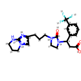 O=C(O)CC(c1cccc(C(F)(F)F)c1)N1CCN(CCCc2cn3c(n2)NCCC3)C1=O